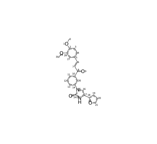 COc1ccc(C=CC(=O)c2cccc(-n3cc(-c4ccco4)[nH]c3=O)c2)cc1OC